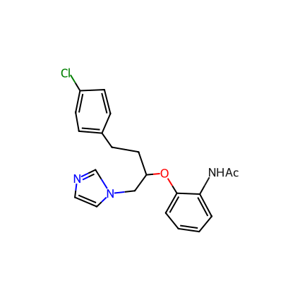 CC(=O)Nc1ccccc1OC(CCc1ccc(Cl)cc1)Cn1ccnc1